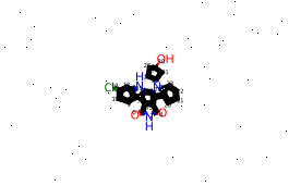 O=C1NC(=O)c2c1c1c3ccc(Cl)cc3[nH]c1c1c2c2ccccc2n1C1CC[C@@H](O)C1